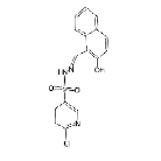 O=S(=O)(N/N=C/c1c(O)ccc2ccccc12)c1ccc(Cl)nc1